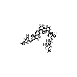 COC(=O)C[C@H](O)CNCc1ccc(-c2cccc(-c3cccc(-c4ccn5c(=O)c(CNC[C@@H](O)CC(=O)OC)cnc5c4)c3Cl)c2Cl)nc1OC